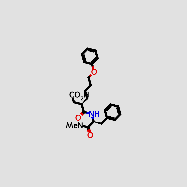 CNC(=O)[C@H](Cc1ccccc1)NC(=O)[C@H](CCCCOc1ccccc1)CC(=O)O